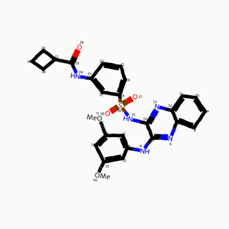 COc1cc(Nc2nc3ccccc3nc2NS(=O)(=O)c2cccc(NC(=O)C3CCC3)c2)cc(OC)c1